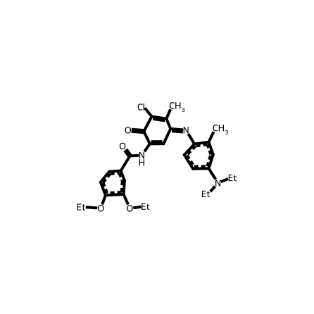 CCOc1ccc(C(=O)NC2=C/C(=N\c3ccc(N(CC)CC)cc3C)C(C)=C(Cl)C2=O)cc1OCC